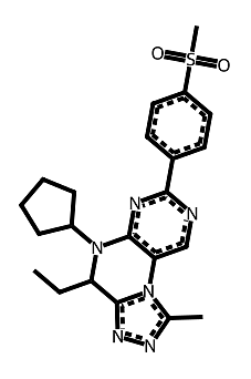 CCC1c2nnc(C)n2-c2cnc(-c3ccc(S(C)(=O)=O)cc3)nc2N1C1CCCC1